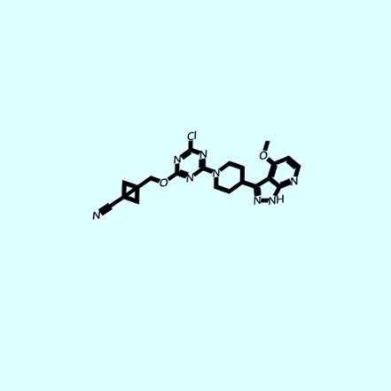 COc1ccnc2[nH]nc(C3CCN(c4nc(Cl)nc(OCC56CC5(C#N)C6)n4)CC3)c12